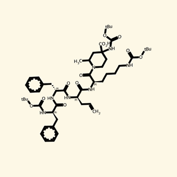 C=CC[C@@H](NC(=O)[C@@H](Cc1ccccc1)NC(=O)[C@@H](Cc1ccccc1)NC(=O)OC(C)(C)C)C(=O)N[C@H](CCCCNC(=O)OC(C)(C)C)C(=O)N1CCC(NC(=O)OC(C)(C)C)(C(=O)O)CC1C